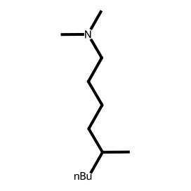 CCCCC(C)CCCCN(C)C